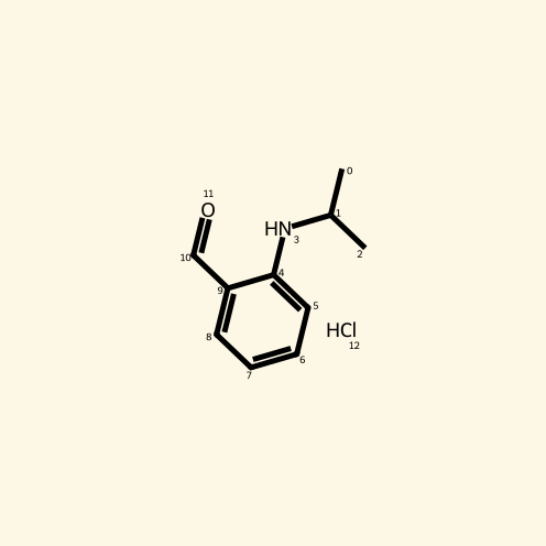 CC(C)Nc1ccccc1C=O.Cl